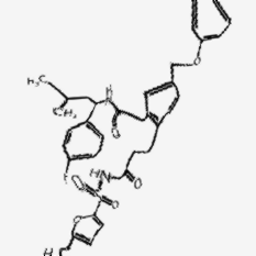 Cc1ccc(S(=O)(=O)NC(=O)CCc2ccc(COc3ccccc3)cc2C(=O)NC(CC(C)C)c2ccc(F)cc2)o1